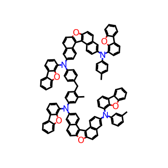 Cc1ccc(N(c2ccc3c(ccc4oc5ccc6cc(N(c7ccc(Cc8ccc(N(c9ccc%10c(ccc%11oc%12ccc%13cc(N(c%14cccc(C)c%14)c%14cccc%15c%14oc%14ccccc%14%15)ccc%13c%12c%11%10)c9)c9cccc%10c9oc9ccccc9%10)cc8C)cc7)c7cccc8c7oc7ccccc78)ccc6c5c43)c2)c2cccc3c2oc2ccccc23)cc1